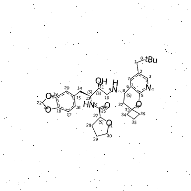 CC(C)(C)Cc1cnc2c(c1)[C@@H](NC[C@H](O)[C@H](Cc1ccc3c(c1)OCO3)NC(=O)[C@@H]1CCCO1)CC1(CCC1)O2